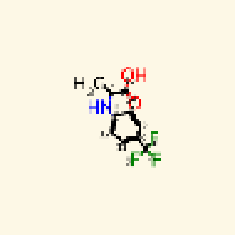 CC(Nc1ccc(C(F)(F)F)cc1)C(=O)O